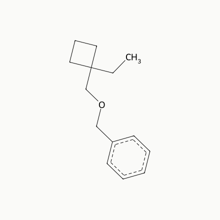 CCC1(COCc2ccccc2)CCC1